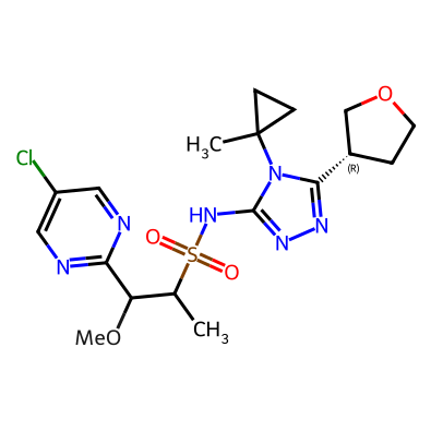 COC(c1ncc(Cl)cn1)C(C)S(=O)(=O)Nc1nnc([C@H]2CCOC2)n1C1(C)CC1